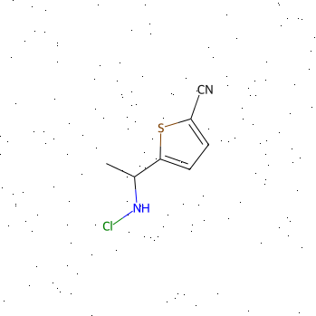 CC(NCl)c1ccc(C#N)s1